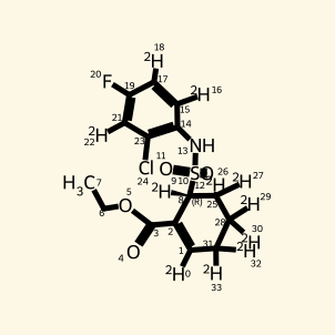 [2H]C1=C(C(=O)OCC)[C@]([2H])(S(=O)(=O)Nc2c([2H])c([2H])c(F)c([2H])c2Cl)C([2H])([2H])C([2H])([2H])C1([2H])[2H]